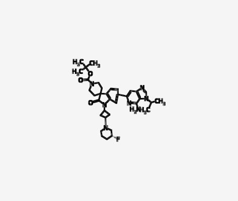 CC(C)n1cnc2cc(-c3ccc4c(c3)N(C3CC(N5CCC[C@@H](F)C5)C3)C(=O)C43CCN(C(=O)OC(C)(C)C)CC3)nc(N)c21